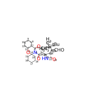 C[C@@H](C(=O)N1C(=O)c2ccccc2OC12CCCCC2)[C@H]1NC(=O)[C@H]1[C@H](C=O)[Si](C)(C)C(C)(C)C